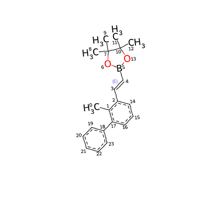 Cc1c(/C=C/B2OC(C)(C)C(C)(C)O2)cccc1-c1ccccc1